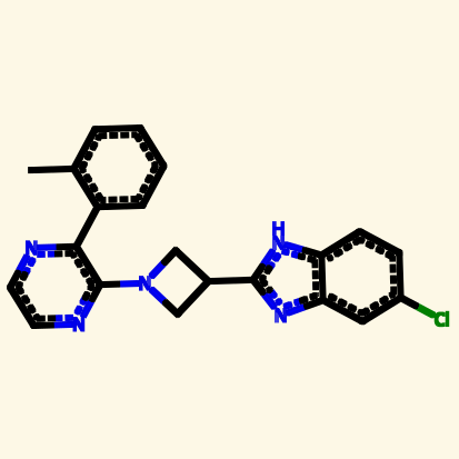 Cc1ccccc1-c1nccnc1N1CC(c2nc3cc(Cl)ccc3[nH]2)C1